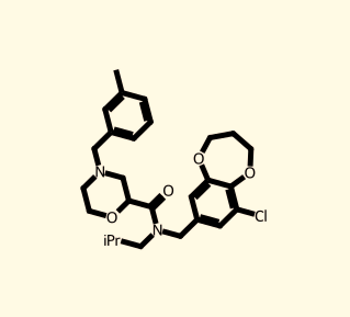 Cc1cccc(CN2CCOC(C(=O)N(Cc3cc(Cl)c4c(c3)OCCCO4)CC(C)C)C2)c1